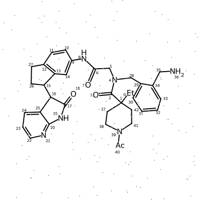 CCC1(C(=O)N(CC(=O)Nc2ccc3c(c2)C(C2C(=O)Nc4ncccc42)CC3)Cc2ccccc2CN)CCN(C(C)=O)CC1